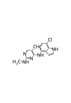 CNc1ncc(C)c(Nc2ccc(Cl)c3[nH]ccc23)n1